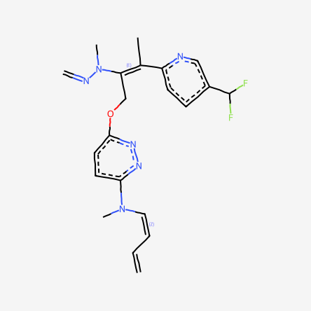 C=C/C=C\N(C)c1ccc(OC/C(=C(/C)c2ccc(C(F)F)cn2)N(C)N=C)nn1